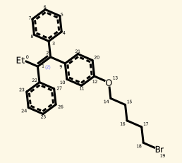 CC/C(=C(\c1ccccc1)c1ccc(OCCCCCBr)cc1)c1ccccc1